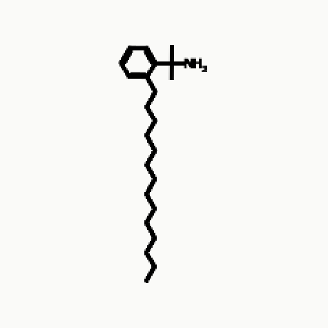 CCCCCCCCCCCCCCc1ccccc1C(C)(C)N